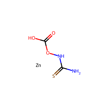 NC(=S)NOC(=O)O.[Zn]